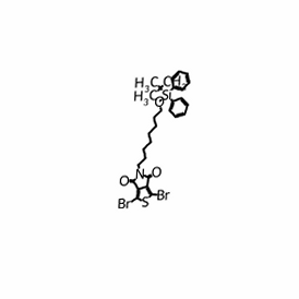 CC(C)(C)[Si](OCCCCCCCCN1C(=O)c2c(Br)sc(Br)c2C1=O)(c1ccccc1)c1ccccc1